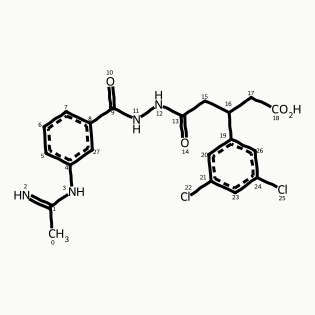 CC(=N)Nc1cccc(C(=O)NNC(=O)CC(CC(=O)O)c2cc(Cl)cc(Cl)c2)c1